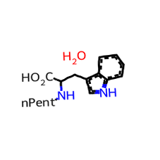 CCCCCNC(Cc1c[nH]c2ccccc12)C(=O)O.O